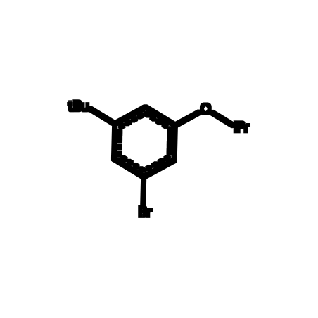 CC(C)Oc1cc(Br)cc(C(C)(C)C)c1